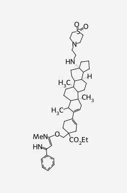 CCOC(=O)C1(CO/C(=C/C(=N)c2ccccc2)NC)CC=C(C2=CC[C@@]3(C)C(CC[C@@]4(C)C5CC[C@@]6(NCCN7CCS(=O)(=O)CC7)CCCC6[C@H]5CCC34)C2C)CC1